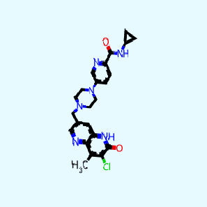 Cc1c(Cl)c(=O)[nH]c2cc(CN3CCN(c4ccc(C(=O)NC5CC5)nc4)CC3)cnc12